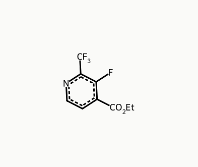 CCOC(=O)c1ccnc(C(F)(F)F)c1F